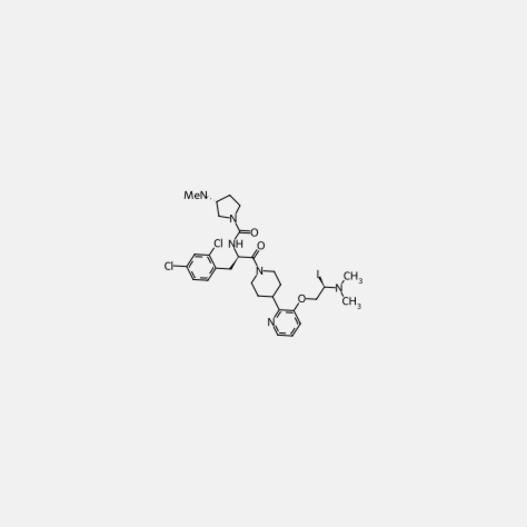 CN[C@@H]1CCN(C(=O)N[C@H](Cc2ccc(Cl)cc2Cl)C(=O)N2CCC(c3ncccc3OC[C@@H](I)N(C)C)CC2)C1